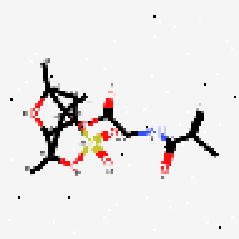 C=C(C)C(=O)NCC(=O)OC1(C)C2(C)CC3C(O2)C1(C)OS3(=O)=O